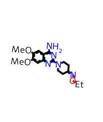 CCON=C1CCN(c2nc(N)c3cc(OC)c(OC)cc3n2)CC1